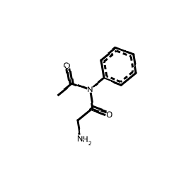 CC(=O)N(C(=O)CN)c1ccccc1